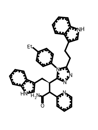 CCc1ccc(-n2c(CCc3c[nH]c4ccccc34)nnc2[C@H](Cc2c[nH]c3ccccc23)C(C(N)=O)c2ccccn2)cc1